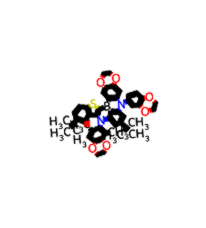 Cc1cc2c(c(C)c1N1c3cc(C(C)(C)C)cc4c3B(c3cc5c(cc3N4c3ccc4c(c3)OCCO4)OCCO5)c3sc4ccc(C(C)(C)C)cc4c31)OCCO2